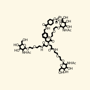 CC(=O)NC1C(OCCOCCNC(=O)CN(CC(=O)NCCOCCOC2OC(CO)C(O)C(O)C2NC(C)=O)C(Cc2ccc(CNC(=O)C3CCC(OP(=O)(O)C(C)C)CC3)cc2)C(=O)NCCOCCOC2OC(CO)C(O)C(O)C2NC(C)=O)OC(CO)C(O)C1O